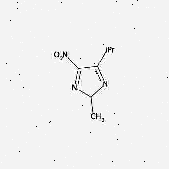 CC1N=C(C(C)C)C([N+](=O)[O-])=N1